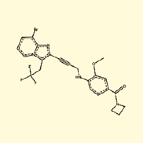 COc1cc(C(=O)N2CCC2)ccc1NCC#Cc1nc2c(Br)cccn2c1CC(F)(F)F